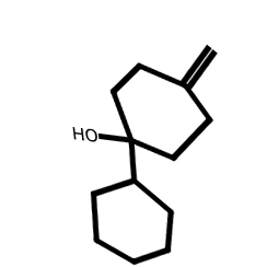 C=C1CCC(O)(C2CCCCC2)CC1